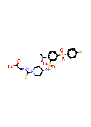 CC(C)c1ccc(S(=O)(=O)c2ccc(F)cc2)cc1S(=O)(=O)NC1CCN(C(=S)NCC(=O)O)CC1